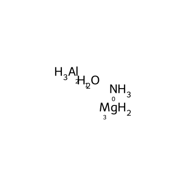 N.O.[AlH3].[MgH2]